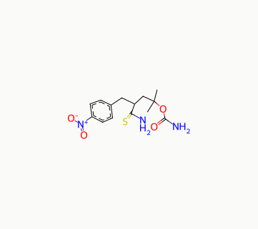 CC(C)(CC(Cc1ccc([N+](=O)[O-])cc1)C(N)=S)OC(N)=O